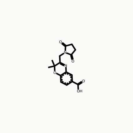 CC1(C)Oc2ccc(C(=O)O)cc2N=C1CN1C(=O)CCC1=O